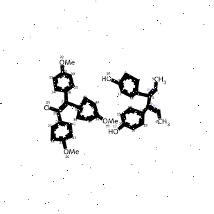 C/C=C(/C(=C/C)c1ccc(O)cc1)c1ccc(O)cc1.COc1ccc(C(Cl)=C(c2ccc(OC)cc2)c2ccc(OC)cc2)cc1